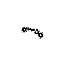 c1ccc(OCCCCN2CCC(c3ccccc3)CC2)cc1